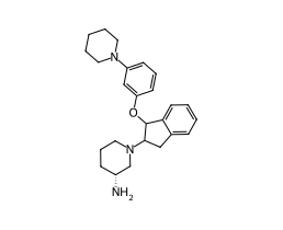 N[C@@H]1CCCN(C2Cc3ccccc3C2Oc2cccc(N3CCCCC3)c2)C1